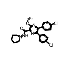 CCCOc1nc(-c2ccc(Cl)cc2)c(-c2ccc(Cl)cc2)nc1C(=O)NN1CCCCC1